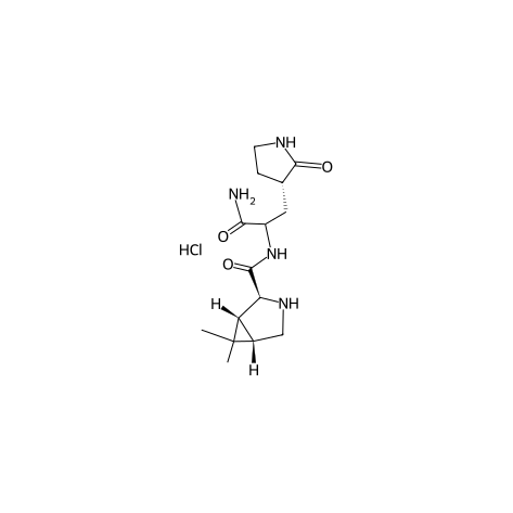 CC1(C)[C@@H]2[C@@H](C(=O)NC(C[C@@H]3CCNC3=O)C(N)=O)NC[C@@H]21.Cl